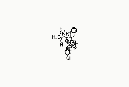 CN[C@H](C(=O)N[C@@H](Cc1ccccc1)C(=O)NC(Cc1ccc(O)cc1)P(=O)(O)O)C(C)C